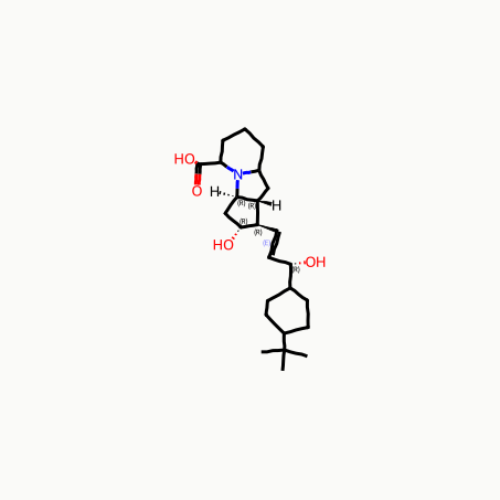 CC(C)(C)C1CCC([C@@H](O)/C=C/[C@@H]2[C@H]3CC4CCCC(C(=O)O)N4[C@@H]3C[C@H]2O)CC1